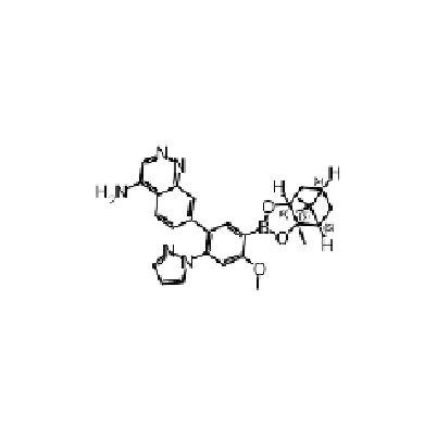 COc1cc(-n2cccn2)c(-c2ccc3c(N)cnnc3c2)cc1B1O[C@@H]2C[C@@H]3C[C@@H](C3(C)C)[C@]2(C)O1